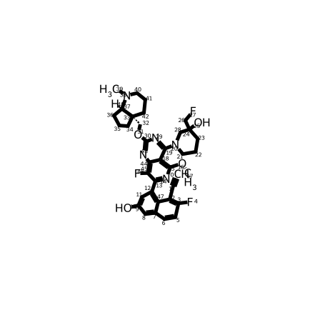 C#Cc1c(F)ccc2cc(O)cc(-c3nc(OC)c4c(N5CCCC(O)(CF)C5)nc(OC[C@]56CCC[C@H]5N(C)CCC6)nc4c3F)c12